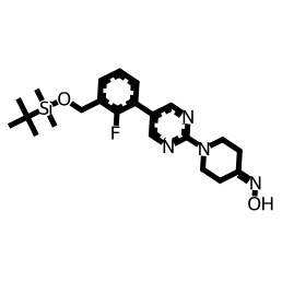 CC(C)(C)[Si](C)(C)OCc1cccc(-c2cnc(N3CCC(=NO)CC3)nc2)c1F